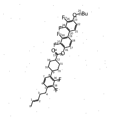 C/C=C/CCc1ccc(C2CCC(C(=O)Oc3ccc(-c4ccc(OCCCC)c(F)c4F)c(F)c3F)CC2)c(F)c1F